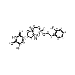 O=c1[nH]c(=O)n([C@H]2C[C@@H]3OP(=O)(OCCc4ccccc4F)OC[C@H]3O2)cc1F